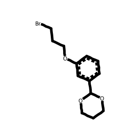 BrCCCOc1cccc(C2OCCCO2)c1